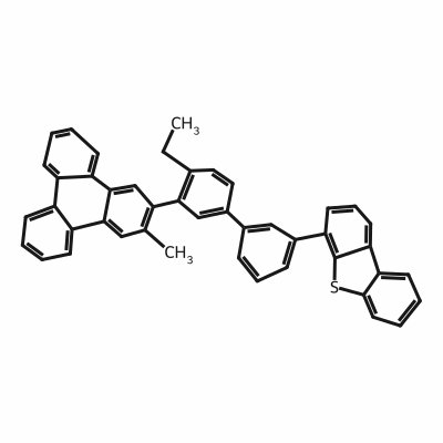 CCc1ccc(-c2cccc(-c3cccc4c3sc3ccccc34)c2)cc1-c1cc2c3ccccc3c3ccccc3c2cc1C